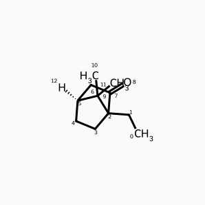 CCC12CC[C@@H](CC1=O)C2(C)C